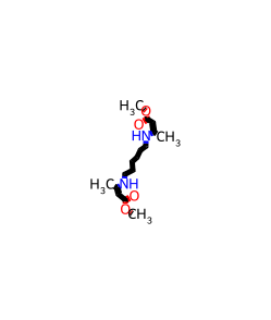 COC(=O)/C=C(/C)NCCCCCCN/C(C)=C\C(=O)OC